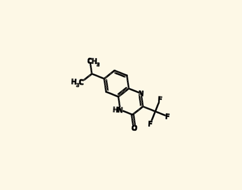 CC(C)c1ccc2nc(C(F)(F)F)c(=O)[nH]c2c1